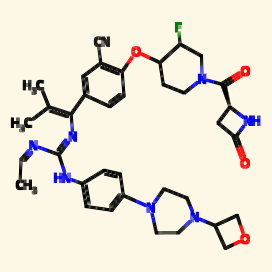 C/C=N\C(=N/C(=C(C)C)c1ccc(OC2CCN(C(=O)[C@@H]3CC(=O)N3)CC2F)c(C#N)c1)Nc1ccc(N2CCN(C3COC3)CC2)cc1